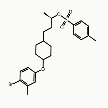 Cc1ccc(S(=O)(=O)O[C@H](C)CCC2CCC(Oc3ccc(Br)c(C)c3)CC2)cc1